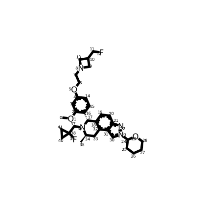 COc1cc(OCCN2CC(CF)C2)ccc1[C@@H]1c2ccc3nn(C4CCCCO4)cc3c2C[C@@H](C)N1CC1(F)CC1